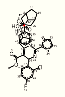 COC(=O)C1=C2CC(NS(=O)(=O)C3C4CCC3CC(O)(c3ccccn3)C4)CN2C(c2nccs2)=N[C@H]1c1ccc(F)cc1Cl